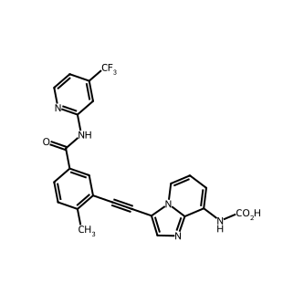 Cc1ccc(C(=O)Nc2cc(C(F)(F)F)ccn2)cc1C#Cc1cnc2c(NC(=O)O)cccn12